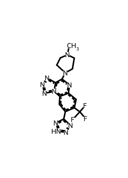 CN1CCN(c2nc3cc(C(F)(F)F)c(-c4nn[nH]n4)cc3n3nnnc23)CC1